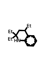 CCC1CC(CC)(CC)Nc2ccccc21